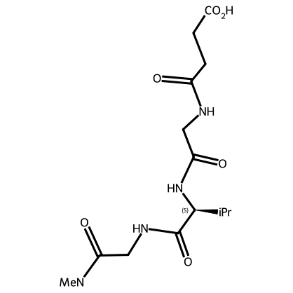 CNC(=O)CNC(=O)[C@@H](NC(=O)CNC(=O)CCC(=O)O)C(C)C